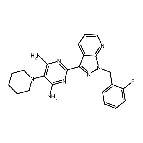 Nc1nc(-c2nn(Cc3ccccc3F)c3ncccc23)nc(N)c1N1CCCCC1